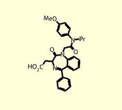 COc1ccc(N(C(=O)CN2C(=O)C(CC(=O)O)N=C(c3ccccc3)c3ccccc32)C(C)C)cc1